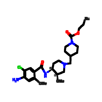 CCC(C)CCOC(=O)N1CCC(CN2CC[C@@H](NC(=O)c3cc(Cl)c(N)cc3OC)[C@@H](OC)C2)CC1